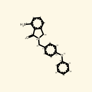 Bc1cccc2c1C(=O)N(Cc1ccc(Oc3ccccc3)cc1)C2